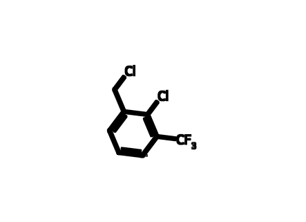 FC(F)(F)c1[c]ccc(CCl)c1Cl